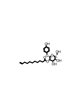 C=CCCCCCCCCC(=O)O[C@H]1[C@H](Oc2ccc(O)cc2)O[C@H](CO)[C@@H](O)[C@@H]1O